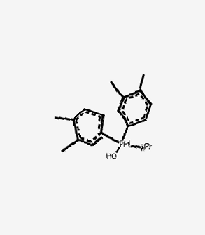 Cc1ccc([PH](O)(c2ccc(C)c(C)c2)C(C)C)cc1C